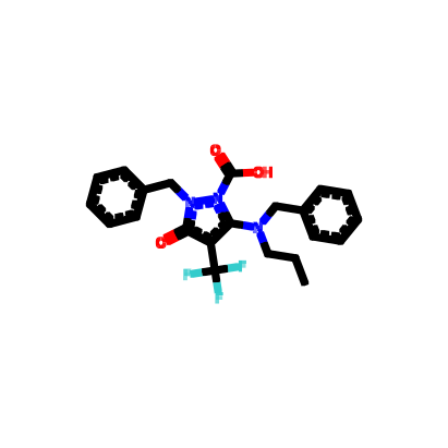 CCCN(Cc1ccccc1)c1c(C(F)(F)F)c(=O)n(Cc2ccccc2)n1C(=O)O